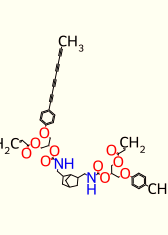 C=CC(=O)OCC(COc1ccc(C)cc1)OC(=O)NCC1CC2CC(CNC(=O)OC(COC(=O)C=C)COc3ccc(C#CC#CC#CC#CC)cc3)C1C2